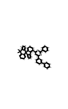 CC1(C)c2ccccc2C2(c3ccccc3-c3c(-c4cc(-c5cccc(-c6ccccc6)c5)nc(-c5ccccc5)n4)cccc32)c2ccccc21